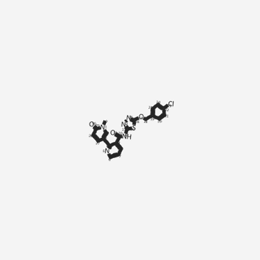 Cn1cc(-c2ncccc2C(=O)Nc2nnc(OCc3ccc(Cl)cc3)s2)ccc1=O